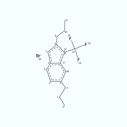 CCCc1ccc2cc(CCC)[s+](C(F)(F)F)c2c1.[Br-]